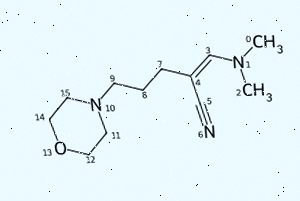 CN(C)/C=C(\C#N)CCCN1CCOCC1